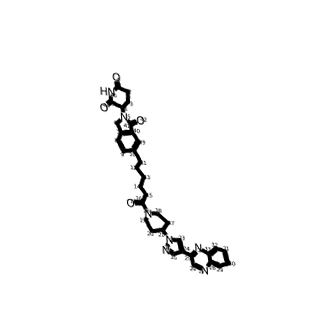 O=C1CCC(N2Cc3ccc(CCCCCC(=O)N4CCC(n5cc(-c6cnc7ccccc7n6)cn5)CC4)cc3C2=O)C(=O)N1